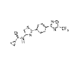 O=C(NC1CSC(c2ccc(-c3noc(C(F)(F)F)n3)cc2)=N1)C1CC1